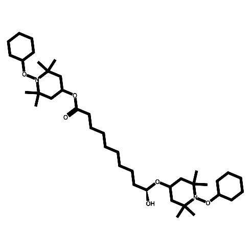 CC1(C)CC(OC(=O)CCCCCCCC[C@H](O)OC2CC(C)(C)N(OC3CCCCC3)C(C)(C)C2)CC(C)(C)N1OC1CCCCC1